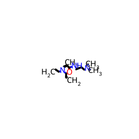 C=CCN(C=C(C)C(=O)NCCCN(C)C)CC=C